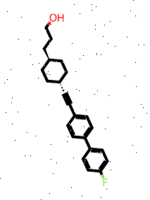 OCCC[C@H]1CC[C@H](C#Cc2ccc(-c3ccc(F)cc3)cc2)CC1